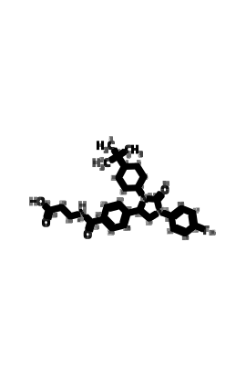 CC(C)(C)C1CCC(N2C(=O)N(c3ccc(F)cc3)CC2c2ccc(C(=O)NCCC(=O)O)cc2)CC1